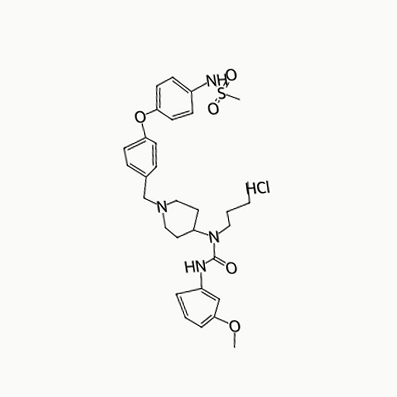 CCCCN(C(=O)Nc1cccc(OC)c1)C1CCN(Cc2ccc(Oc3ccc(NS(C)(=O)=O)cc3)cc2)CC1.Cl